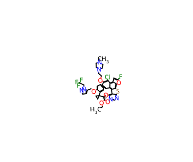 CCOC(=O)[C@H](Oc1ncnc2sc3c4oc(F)cc4c4c(Cl)c(OCCN5CCN(C)CC5)ccc4c3c12)C1(c2ccccc2OCc2ccnn2CC(F)(F)F)CC1